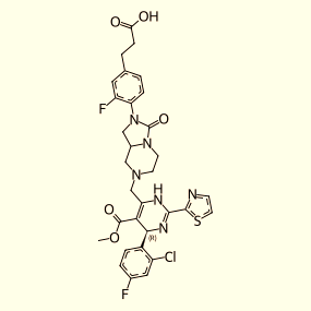 COC(=O)C1=C(CN2CCN3C(=O)N(c4ccc(CCC(=O)O)cc4F)CC3C2)NC(c2nccs2)=N[C@H]1c1ccc(F)cc1Cl